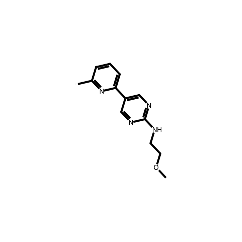 [CH2]c1cccc(-c2cnc(NCCOC)nc2)n1